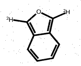 [2H]c1oc([2H])c2ccccc12